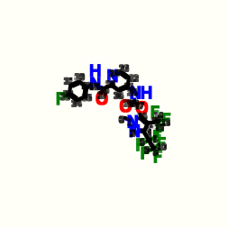 Cn1nc(C(F)(F)C(F)(F)F)c(C(F)(F)F)c1OC(=O)Nc1ccnc(C(=O)Nc2ccc(F)cc2)c1